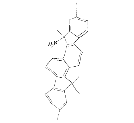 Cc1ccc2c(c1)C(C)(C)c1c-2ccc2c3c(ccc12)-c1ccc(C)cc1C3(C)N